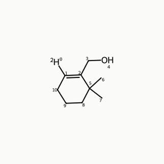 [2H]C1=C(CO)C(C)(C)CCC1